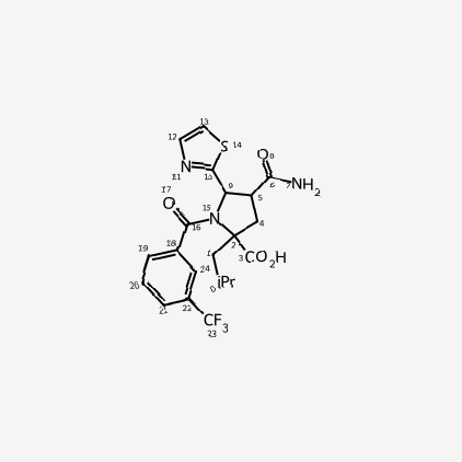 CC(C)CC1(C(=O)O)CC(C(N)=O)C(c2nccs2)N1C(=O)c1cccc(C(F)(F)F)c1